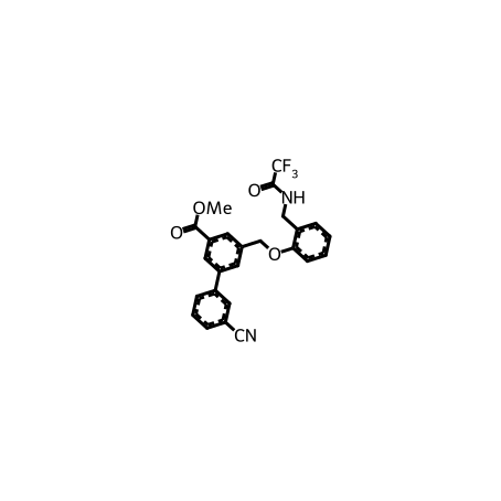 COC(=O)c1cc(COc2ccccc2CNC(=O)C(F)(F)F)cc(-c2cccc(C#N)c2)c1